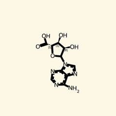 Nc1ncnc2c1ncn2C1O[C@H](C(=O)O)[C@@H](O)[C@H]1O